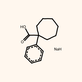 O=C(O)C1(c2ccccc2)CCCCCC1.[NaH]